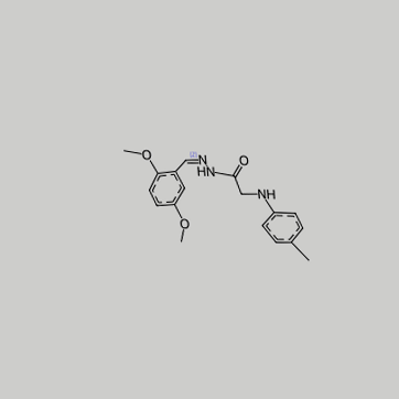 COc1ccc(OC)c(/C=N\NC(=O)CNc2ccc(C)cc2)c1